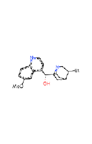 CCC1CN2CCC1CC2[C@H](O)c1ccnc2ccc(OC)cc12